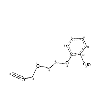 C#CCOCCOc1ccccc1C=O